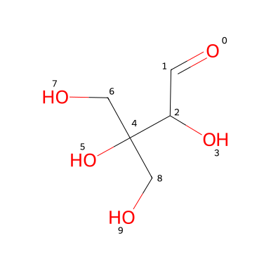 O=CC(O)C(O)(CO)CO